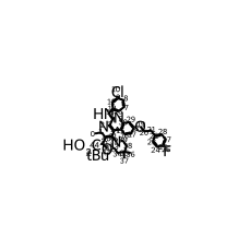 Cc1nc(-c2nc3ccc(Cl)cc3[nH]2)c(-c2ccc(OCCc3ccc(F)cc3)cc2)c(N2CCC(C)(C)CC2)c1C(OC(C)(C)C)C(=O)O